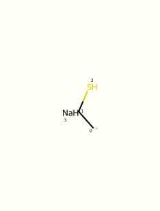 [CH2]CS.[NaH]